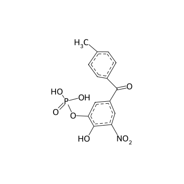 Cc1ccc(C(=O)c2cc(OP(=O)(O)O)c(O)c([N+](=O)[O-])c2)cc1